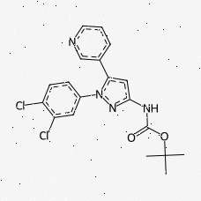 CC(C)(C)OC(=O)Nc1cc(-c2cccnc2)n(-c2ccc(Cl)c(Cl)c2)n1